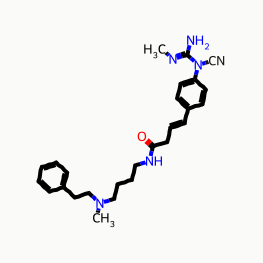 CN=C(N)N(C#N)c1ccc(/C=C/CC(=O)NCCCCN(C)CCc2ccccc2)cc1